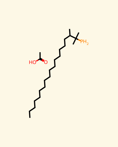 CC(=O)O.CCCCCCCCCCCCCCCCC(C)C(C)(C)P